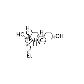 CCC=C[C@H]1C[C@H](O)[C@@]2(C)CC[C@H]3[C@@H](CC=C4C[C@@H](O)CC[C@@]43C)[C@H]12